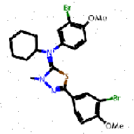 COc1ccc(-c2nn(C)c(=[N+](c3ccc(OC)c(Br)c3)C3CCCCC3)s2)cc1Br